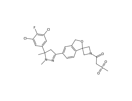 CN1N=C(c2ccc3c(c2)COC32CN(C(=O)CS(C)(=O)=O)C2)CC1(C)c1cc(Cl)c(F)c(Cl)c1